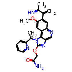 C=C(C(C)=N)c1cc2ncc3nc(OCC(N)=O)n([C@H](C)c4ccccn4)c3c2cc1OC